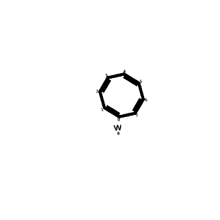 [C]1=CC=CC=CC=C1.[W]